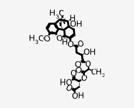 COc1ccc2c3c1O[C@@H]1C(OC(=O)C[C@H](O)C(=O)O[C@@H](C)C(=O)O[C@H](CC(=O)O)C(=O)O)=CC[C@]4(O)[C@H](C2)N(C)CC[C@@]314